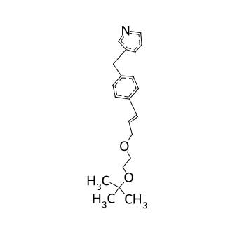 CC(C)(C)OCCOCC=Cc1ccc(Cc2cccnc2)cc1